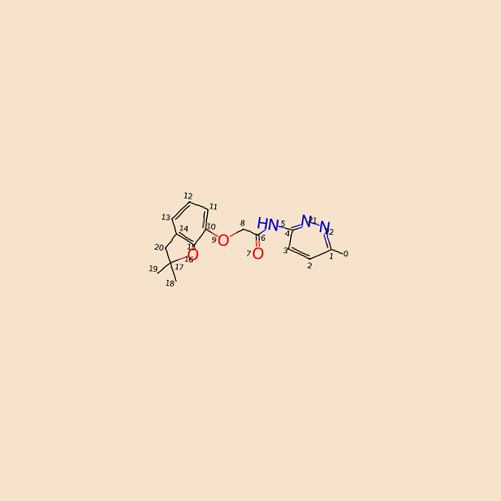 Cc1ccc(NC(=O)COc2cccc3c2OC(C)(C)C3)nn1